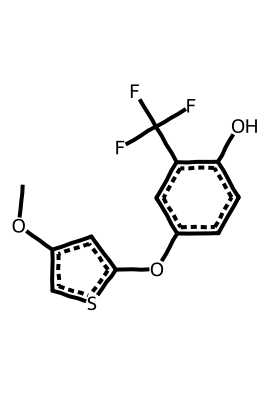 COc1csc(Oc2ccc(O)c(C(F)(F)F)c2)c1